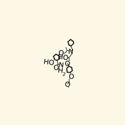 COCCOc1ccc(OCC(O)CN(Cc2ccccc2)C(C)COc2ccc(O)c(C(N)=O)c2)cc1